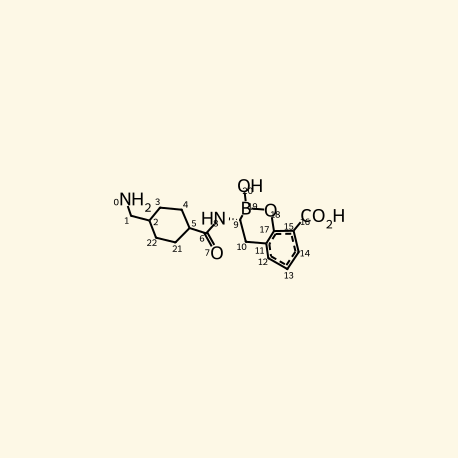 NCC1CCC(C(=O)N[C@H]2Cc3cccc(C(=O)O)c3OB2O)CC1